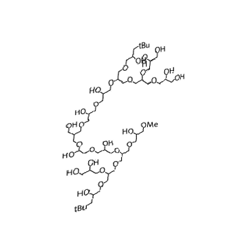 COCC(O)COCC(COCC(COCC(O)CC(C)(C)C)OCC(O)CO)OCC(O)COCC(O)OCC(CO)COCC(O)COCC(O)COC(COCC(O)CC(C)(C)C)COCC(COCC(O)CO)OCC(O)CO